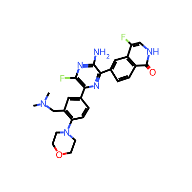 CN(C)Cc1cc(-c2nc(-c3ccc4c(=O)[nH]cc(F)c4c3)c(N)nc2F)ccc1N1CCOCC1